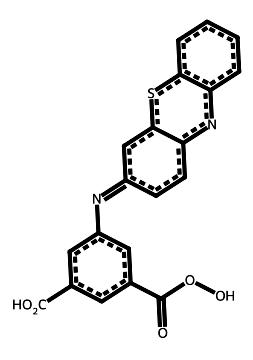 O=C(O)c1cc(/N=c2\ccc3nc4ccccc4sc-3c2)cc(C(=O)OO)c1